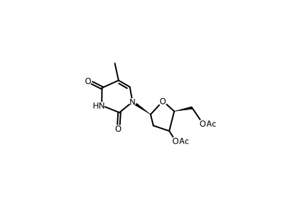 CC(=O)OC[C@@H]1O[C@H](n2cc(C)c(=O)[nH]c2=O)CC1OC(C)=O